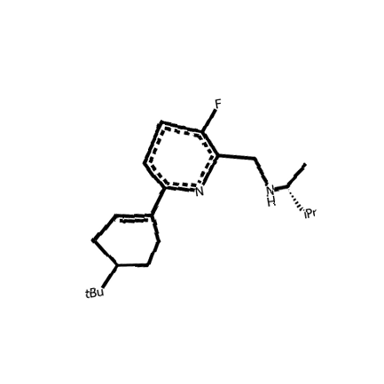 CC(C)[C@@H](C)NCc1nc(C2=CCC(C(C)(C)C)CC2)ccc1F